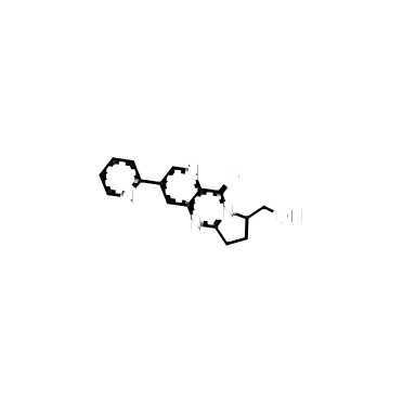 O=c1c2ncc(-c3ccccn3)cc2nc2n1C(CO)CC2